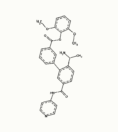 COc1cccc(OC)c1OC(=O)c1cccc(-c2cc(C(=O)Nc3ccncc3)ccc2C(C)N)c1